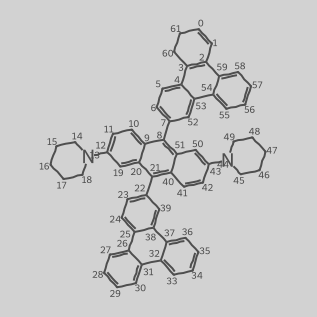 C1=Cc2c(c3ccc(-c4c5ccc(N6CCCCC6)cc5c(-c5ccc6c7ccccc7c7ccccc7c6c5)c5ccc(N6CCCCC6)cc45)cc3c3ccccc23)CC1